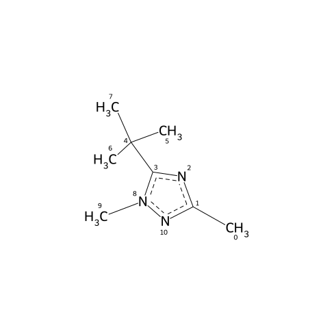 Cc1nc(C(C)(C)C)n(C)n1